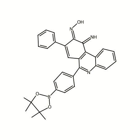 CC1(C)OB(c2ccc(-c3nc4ccccc4c4c3C=C(c3ccccc3)/C(=N/O)C4=N)cc2)OC1(C)C